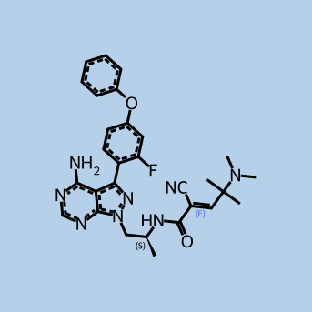 C[C@@H](Cn1nc(-c2ccc(Oc3ccccc3)cc2F)c2c(N)ncnc21)NC(=O)/C(C#N)=C/C(C)(C)N(C)C